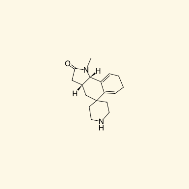 CN1C(=O)C[C@H]2CC3(CCNCC3)C3=CCCC=C3[C@H]21